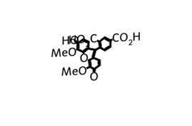 COc1c2oc3c(OC)c(O)ccc3c(-c3ccc(C(=O)O)cc3C(=O)O)c-2ccc1=O